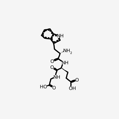 N[C@@H](Cc1c[nH]c2ccccc12)C(=O)N[C@@H](CCC(=O)O)C(=O)NCC(=O)O